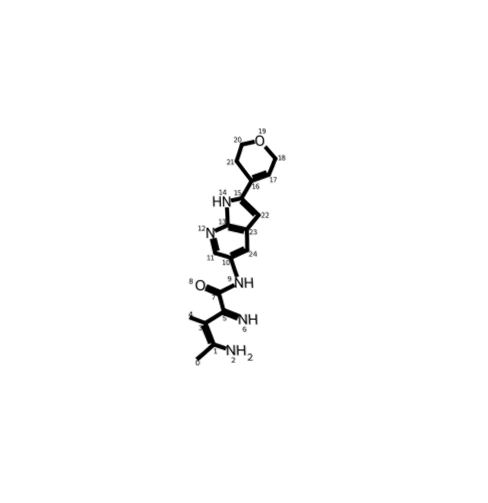 C/C(N)=C(\C)C(=N)C(=O)Nc1cnc2[nH]c(C3=CCOCC3)cc2c1